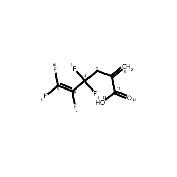 C=C(CC(F)(F)C(F)=C(F)F)C(=O)O